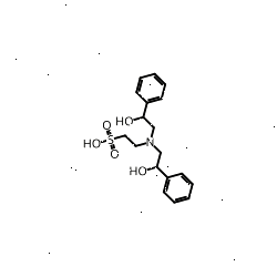 O=S(=O)(O)CCN(CC(O)c1ccccc1)CC(O)c1ccccc1